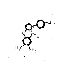 Cc1cc(Oc2ccn(-c3ccc(Cl)cc3)n2)c(C)cc1N